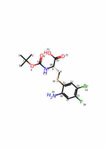 CC(C)(C)OC(=O)N[C@@H](CSc1cc(Br)c(F)cc1N)C(=O)O